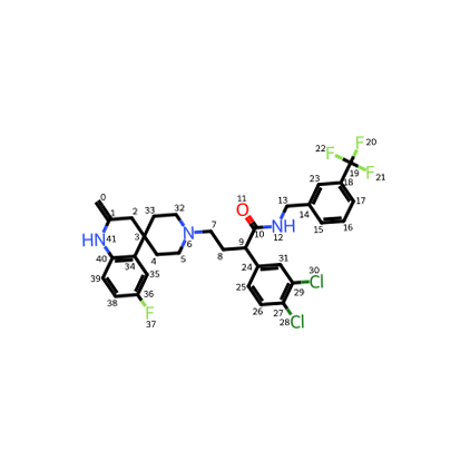 C=C1CC2(CCN(CCC(C(=O)NCc3cccc(C(F)(F)F)c3)c3ccc(Cl)c(Cl)c3)CC2)c2cc(F)ccc2N1